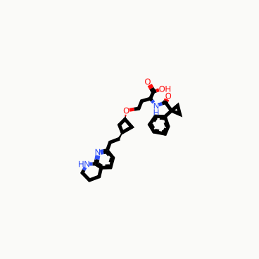 O=C(O)C(CCO[C@H]1C[C@H](CCc2ccc3c(n2)NCCC3)C1)NC(=O)C1(c2ccccc2)CC1